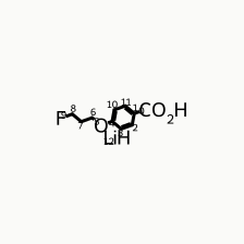 O=C(O)c1ccc(OCCCF)cc1.[LiH]